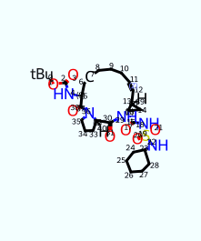 CC(C)(C)OC(=O)N[C@H]1CCCCC/C=C\[C@@H]2C[C@@]2(C(=O)NS(=O)(=O)NC2CCCCC2)NC(=O)[C@@H]2CCCN2C1=O